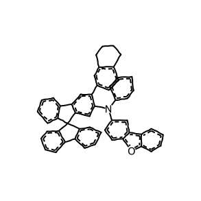 c1ccc(N(c2ccc3oc4ccccc4c3c2)c2cc3c(cc2-c2ccc4c(c2)CCCC4)-c2ccccc2C32c3ccccc3-c3ccccc32)cc1